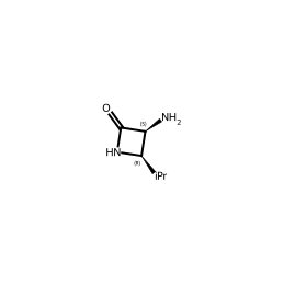 CC(C)[C@H]1NC(=O)[C@H]1N